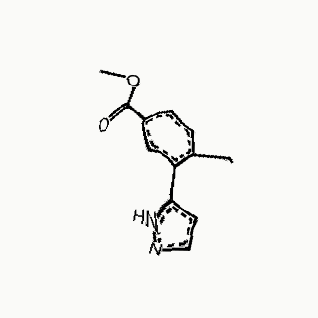 COC(=O)c1ccc(C)c(-c2ccn[nH]2)c1